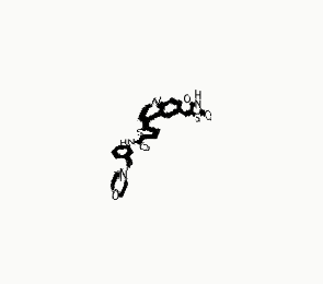 O=C1NC(=O)/C(=C\c2ccc3nccc(-c4ccc(C(=O)Nc5cccc(CN6CCOCC6)c5)s4)c3c2)S1